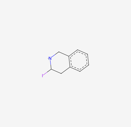 IC1Cc2ccccc2C[N]1